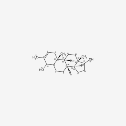 CC1=CC[C@@]2(C)C(CC[C@@H]3[C@H]2CC[C@]2(C)C(O)CC[C@@H]32)C1O